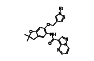 CCn1cc(COc2cc3c(cc2NC(=O)c2cnn4cccnc24)CC(C)(C)O3)cn1